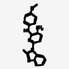 COc1ccc(Nc2nc(-n3c(C)nc4ccccc43)ccc2N)cc1